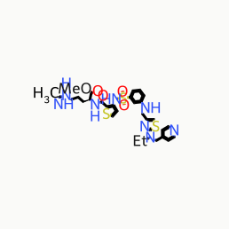 CCN(Cc1ccncc1)c1nc(CNc2cccc(S(=O)(=O)Nc3ccsc3C(=O)N[C@@H](CCCNC(C)=N)C(=O)OC)c2)cs1